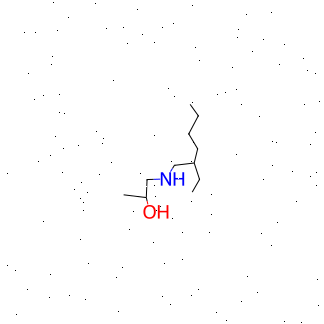 CCCCC(CC)CNCC(C)O